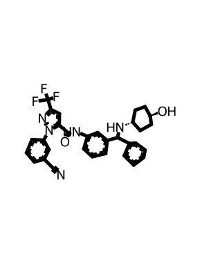 N#Cc1cccc(-n2nc(C(F)(F)F)cc2C(=O)Nc2cccc(C(N[C@H]3CC[C@H](O)CC3)c3ccccc3)c2)c1